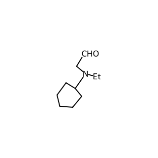 CCN(CC=O)C1CCCCC1